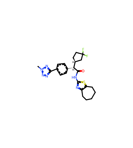 Cn1nnc(-c2ccc([C@@H](C(=O)Nc3nc4c(s3)CCCCC4)[C@H]3CCC(F)(F)C3)cc2)n1